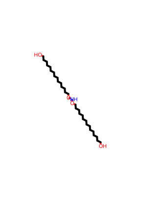 OCCCCCCCCCCCCCCCONOCCCCCCCCCCCCCCCO